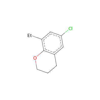 CCc1cc(Cl)cc2c1OCCC2